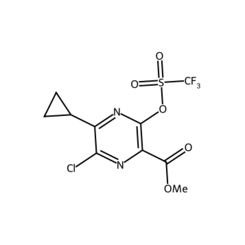 COC(=O)c1nc(Cl)c(C2CC2)nc1OS(=O)(=O)C(F)(F)F